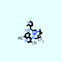 Cc1nc(F)ccc1[C@H](Nc1cc(C#N)c2ncc(C#N)c(NCC(C)(C)C(F)(F)F)c2c1)c1nnn(C2(C)CC2)c1F